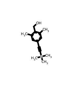 Cc1cc(C#C[Si](C)(C)C)cc(C)c1CO